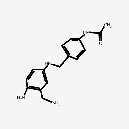 CC(=O)Nc1ccc(CNc2ccc(N)c(CN)c2)cc1